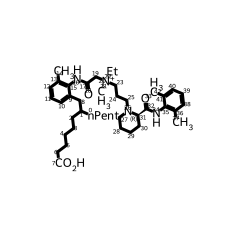 CCCCCC(CCCCCC(=O)O)Cc1cccc(C)c1NC(=O)C[N+](C)(CC)CCCN1CCCC[C@@H]1C(=O)Nc1c(C)cccc1C